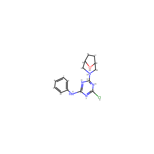 Clc1nc(Nc2ccccc2)nc(N2CC3CCC(C2)O3)n1